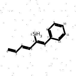 C=CC=CC([SiH3])=Cc1ccccc1